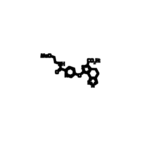 CCOC(=O)c1sc(Oc2ccc(C(=O)NCCOC)nc2)c2c1CCc1cnsc1-2